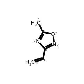 C=Cc1noc(C)n1